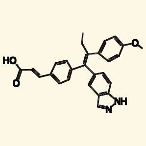 CC/C(=C(\c1ccc(C=CC(=O)O)cc1)c1ccc2[nH]ncc2c1)c1ccc(OC)cc1